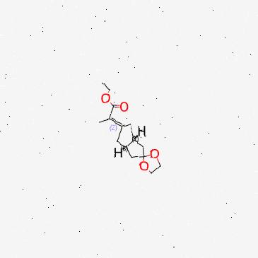 CCOC(=O)/C(C)=C1\C[C@@H]2CC3(C[C@@H]2C1)OCCO3